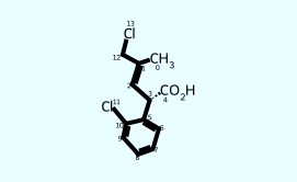 C/C(=C\[C@H](C(=O)O)c1ccccc1Cl)CCl